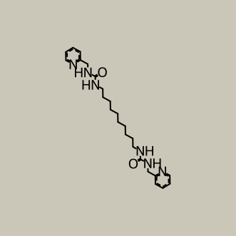 O=C(NCCCCCCCCCCNC(=O)NCc1ccccn1)NCc1ccccn1